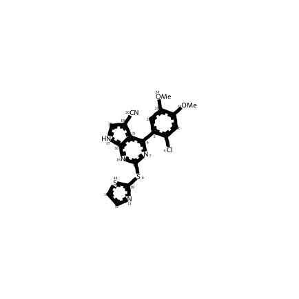 COc1cc(Cl)c(-c2nc(Sc3nccs3)nc3[nH]cc(C#N)c23)cc1OC